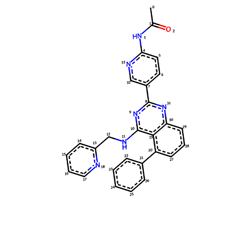 CC(=O)Nc1ccc(-c2nc(NCc3ccccn3)c3c(-c4ccccc4)cccc3n2)cn1